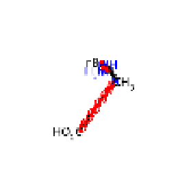 CCCCc1nc2c(N)nc3cc(CCCCCN(C)CCOCCOCCOCCOCCOCCOCCOCCOCCOCCOCCC(=O)O)ccc3c2[nH]1